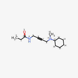 CCC(=O)NCC#CCN(C)C1CCCCC1